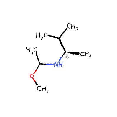 COC(C)N[C@H](C)C(C)C